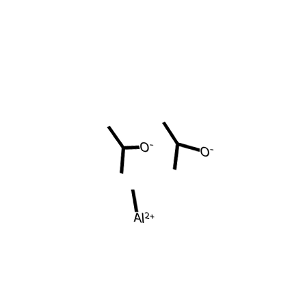 CC(C)[O-].CC(C)[O-].[CH3][Al+2]